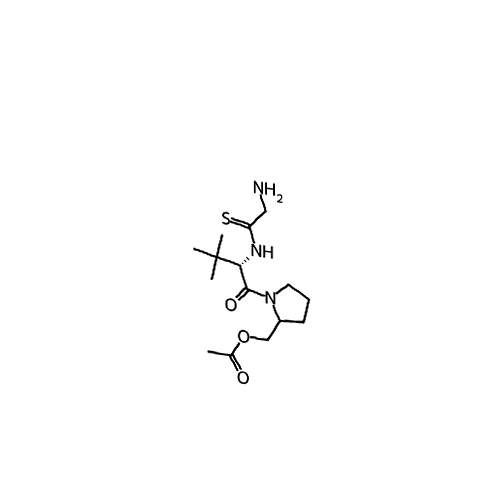 CC(=O)OCC1CCCN1C(=O)[C@@H](NC(=S)CN)C(C)(C)C